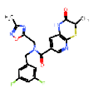 Cc1noc(CN(Cc2cc(F)cc(F)c2)C(=O)c2cnc3c(c2)NC(=O)C(C)S3)n1